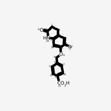 O=C1CCc2cc(Br)c(OCc3ccc(C(=O)O)cc3)cc2N1